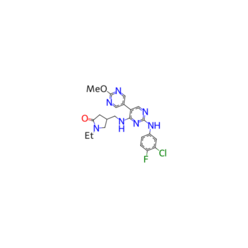 CCN1CC(CNc2nc(Nc3ccc(F)c(Cl)c3)ncc2-c2cnc(OC)nc2)CC1=O